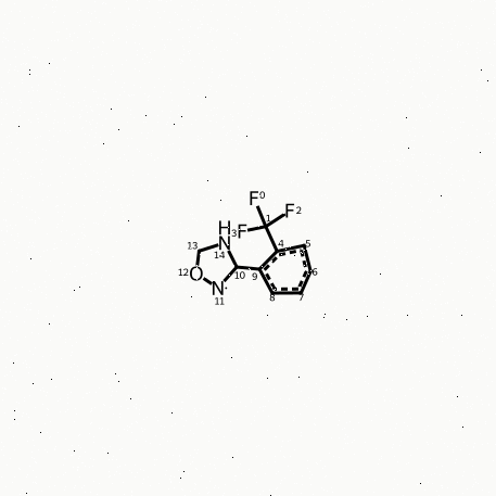 FC(F)(F)c1ccccc1C1[N]OCN1